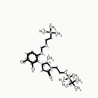 C[C@H]1[C@@H](c2c(OCOCC[Si](C)(C)C)ccc(Cl)c2Cl)CC(=O)N1CCO[Si](C)(C)C(C)(C)C